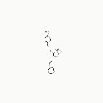 O=C(OCc1ccc([N+](=O)[O-])cc1)C1=C(SC=Cc2ccccc2)CC2CC(=O)N12